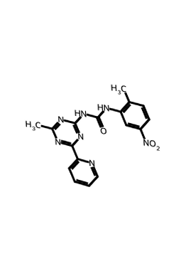 Cc1nc(NC(=O)Nc2cc([N+](=O)[O-])ccc2C)nc(-c2ccccn2)n1